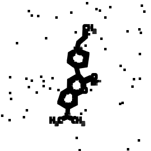 C=CC[n+]1ccc(-c2cc3ccc(N(C)C)cc3oc2=O)cc1.[Br-]